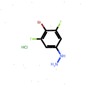 Cl.NNc1cc(F)c(Br)c(F)c1